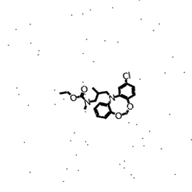 CCOC(=O)N(C)CC(C)CN1c2ccccc2OCOc2ccc(Cl)cc21